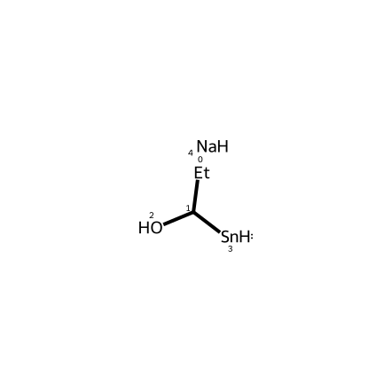 CC[CH](O)[SnH].[NaH]